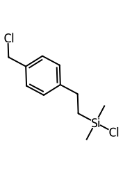 C[Si](C)(Cl)CCc1ccc(CCl)cc1